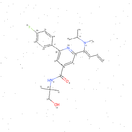 C=C/C=C(/c1cc(C(=O)NC(C)(C)CO)cc(-c2ccc(F)cc2)n1)N(C)C(C)C